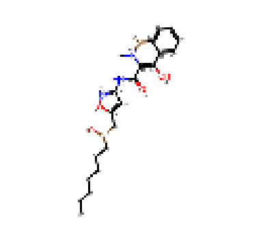 CCCCCCC[S+]([O-])Cc1cc(NC(=O)C2=C(O)c3ccccc3SN2C)no1